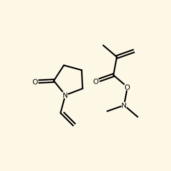 C=C(C)C(=O)ON(C)C.C=CN1CCCC1=O